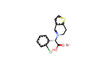 O=C(O)[C@H](c1ccccc1Cl)[N+]1=Cc2ccsc2CC1.[Br-]